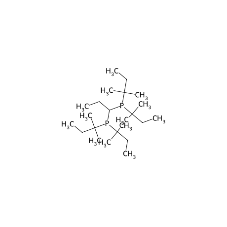 CCC(P(C(C)(C)CC)C(C)(C)CC)P(C(C)(C)CC)C(C)(C)CC